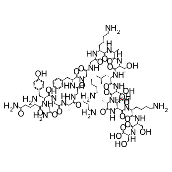 CC(C)C[C@H](NC(=O)[C@@H](NC(=O)[C@H](C)NC(=O)[C@H](CCCCN)NC(=O)CNC(=O)[C@H](CCCCN)NC(=O)[C@H](Cc1ccccc1)NC(=O)[C@H](CCCCN)NC(=O)[C@H](C)NC(=O)[C@H](CC(N)=O)NC(=O)[C@H](Cc1ccc(O)cc1)NC(=O)[C@@H](N)CCC(N)=O)[C@@H](C)O)C(=O)N[C@H](C(=O)N[C@@H](C)C(=O)N[C@@H](CC(=O)O)C(=O)N[C@@H](CCCCN)C(=O)N[C@@H](CO)C(=O)N[C@@H](CO)C(=O)O)[C@@H](C)O